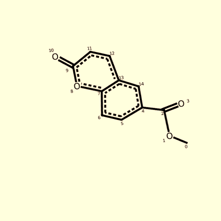 COC(=O)c1ccc2oc(=O)ccc2c1